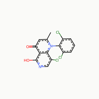 Cc1cc(=O)c2c(O)ncc(Cl)c2n1-c1c(Cl)cccc1Cl